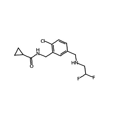 O=C(NCc1cc(CNCC(F)F)ccc1Cl)C1CC1